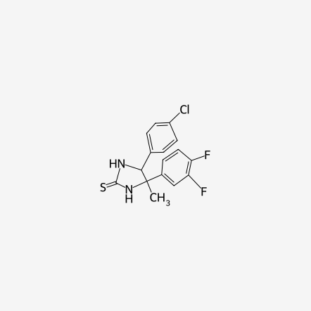 CC1(c2ccc(F)c(F)c2)NC(=S)NC1c1ccc(Cl)cc1